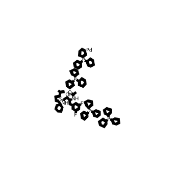 C=C(C)c1ccc(C2(NCC(O)C(Cc3cc(F)cc(F)c3)NC(C)=O)CCCCC2)s1.[Pd].c1ccc(P(c2ccccc2)c2ccccc2)cc1.c1ccc(P(c2ccccc2)c2ccccc2)cc1.c1ccc(P(c2ccccc2)c2ccccc2)cc1.c1ccc(P(c2ccccc2)c2ccccc2)cc1